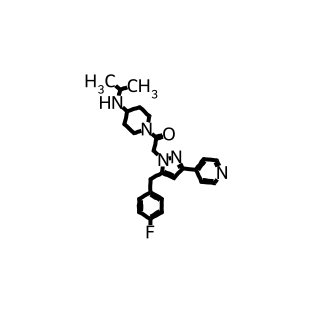 CC(C)NC1CCN(C(=O)Cn2nc(-c3ccncc3)cc2Cc2ccc(F)cc2)CC1